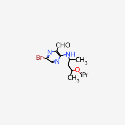 CC(CC(C)OC(C)C)Nc1ncc(Br)nc1C=O